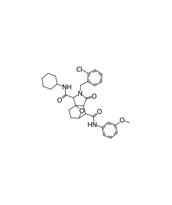 COc1cccc(NC(=O)C2C3CCC4(O3)C2C(=O)N(Cc2ccccc2Cl)C4C(=O)NC2CCCCC2)c1